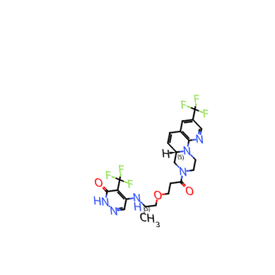 C[C@@H](COCCC(=O)N1CCN2c3ncc(C(F)(F)F)cc3C=C[C@H]2C1)Nc1cn[nH]c(=O)c1C(F)(F)F